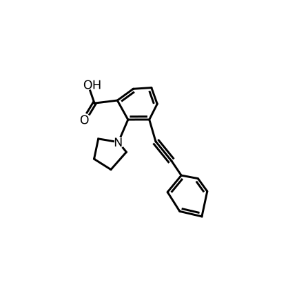 O=C(O)c1cccc(C#Cc2ccccc2)c1N1CCCC1